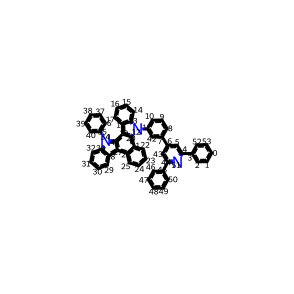 c1ccc(-c2cc(-c3cccc(-n4c5ccccc5c5c4c4ccccc4c4c6ccccc6n(-c6ccccc6)c45)c3)cc(-c3ccccc3)n2)cc1